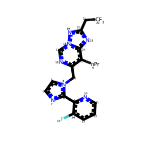 CCCc1c(Cn2ccnc2-c2ncccc2F)ncn2nc(CC(F)(F)F)nc12